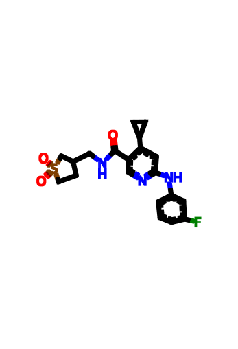 O=C(NCC1CCS(=O)(=O)C1)c1cnc(Nc2cccc(F)c2)cc1C1CC1